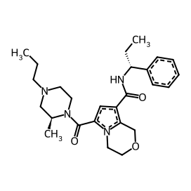 CCCN1CCN(C(=O)c2cc(C(=O)N[C@H](CC)c3ccccc3)c3n2CCOC3)[C@@H](C)C1